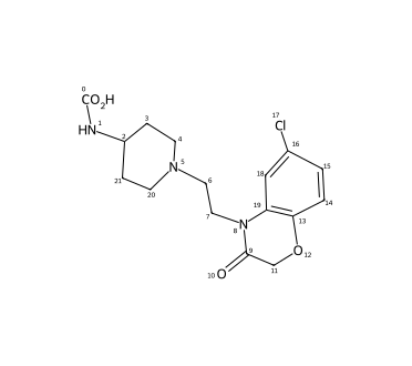 O=C(O)NC1CCN(CCN2C(=O)COc3ccc(Cl)cc32)CC1